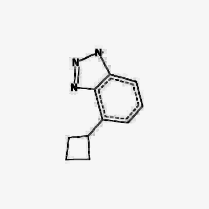 c1cc2c(c(C3CCC3)c1)N=N[N]2